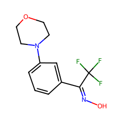 O/N=C(/c1cccc(N2CCOCC2)c1)C(F)(F)F